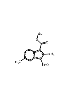 Cc1ccc2c(c1)c(C=O)c(C)n2C(=O)OC(C)(C)C